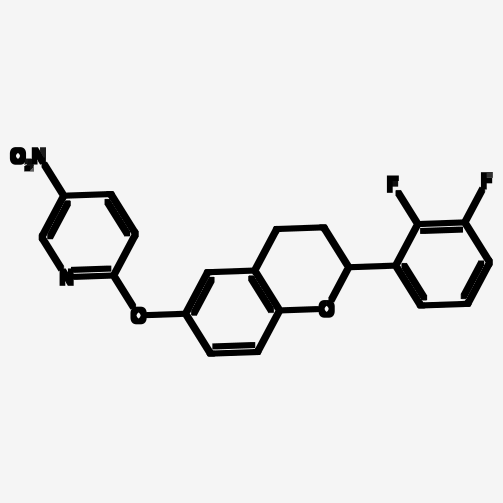 O=[N+]([O-])c1ccc(Oc2ccc3c(c2)CCC(c2cccc(F)c2F)O3)nc1